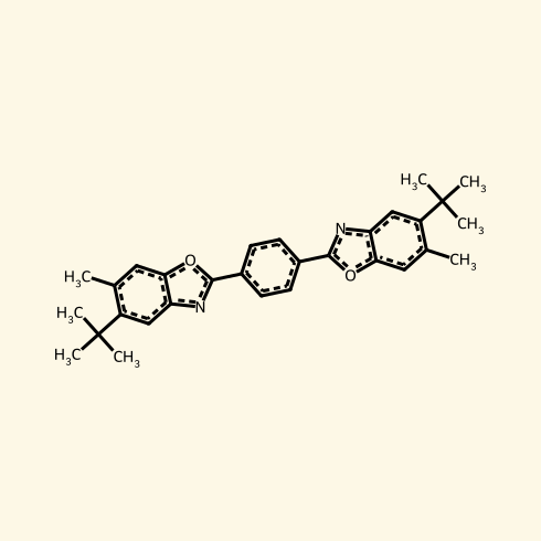 Cc1cc2oc(-c3ccc(-c4nc5cc(C(C)(C)C)c(C)cc5o4)cc3)nc2cc1C(C)(C)C